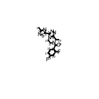 Cc1nsc(-c2nnc3n2CCN(C(=O)c2ccc(F)cc2F)C3C)n1